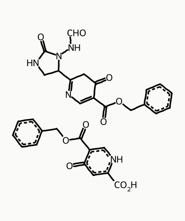 O=C(O)c1cc(=O)c(C(=O)OCc2ccccc2)c[nH]1.O=CNN1C(=O)NCC1C1=NC=C(C(=O)OCc2ccccc2)C(=O)C1